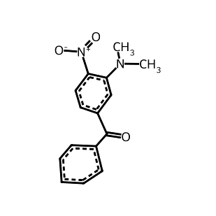 CN(C)c1cc(C(=O)c2ccccc2)ccc1[N+](=O)[O-]